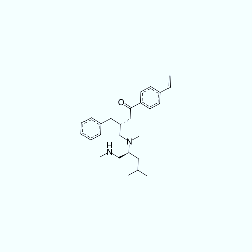 C=Cc1ccc(C(=O)C[C@@H](Cc2ccccc2)CN(C)[C@H](CNC)CC(C)C)cc1